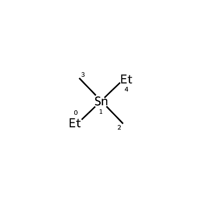 C[CH2][Sn]([CH3])([CH3])[CH2]C